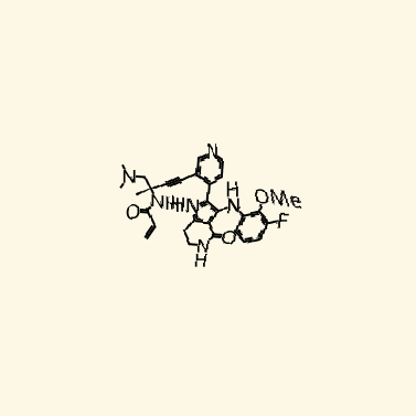 C=CC(=O)N[C@@](C)(C#Cc1cnccc1-c1[nH]c2c(c1Nc1cccc(F)c1OC)C(=O)NCC2)CN(C)C